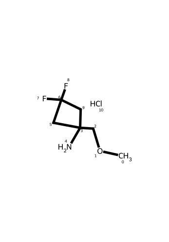 COCC1(N)CC(F)(F)C1.Cl